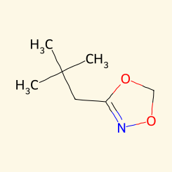 CC(C)(C)CC1=NOCO1